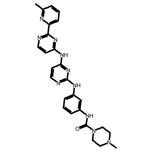 Cc1cccc(-c2nccc(Nc3ccnc(Nc4cccc(NC(=O)N5CCN(C)CC5)c4)n3)n2)n1